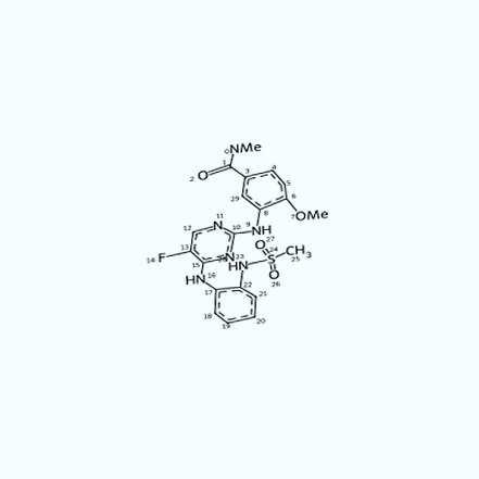 CNC(=O)c1ccc(OC)c(Nc2ncc(F)c(Nc3ccccc3NS(C)(=O)=O)n2)c1